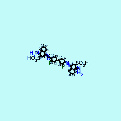 Nc1c(S(=O)(=O)O)cc(/N=N/c2ccc(-c3ccc(/N=N/c4cc(S(=O)(=O)O)c(N)c5ccccc45)c(F)c3)cc2F)c2ccccc12